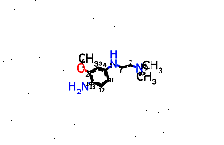 COc1cc(NCCN(C)C)ccc1N